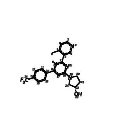 Cc1ccncc1-c1nc(-c2ccc(C(F)(F)F)cc2)cc(N2CC[C@H](O)C2)n1